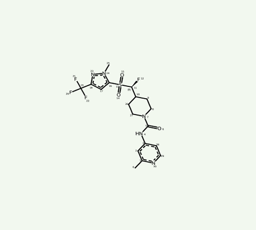 Cc1cc(NC(=O)N2CCC([C@H](F)S(=O)(=O)c3cc(C(F)(F)F)nn3C)CC2)ccn1